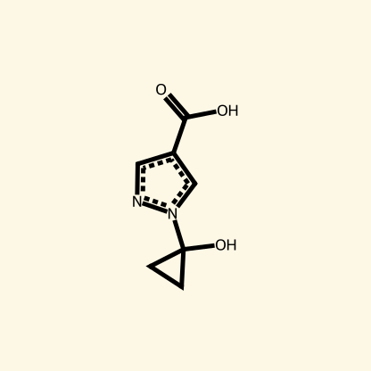 O=C(O)c1cnn(C2(O)CC2)c1